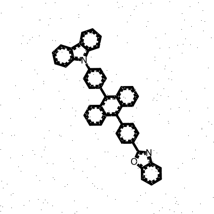 c1ccc2oc(-c3ccc(-c4c5ccccc5c(-c5ccc(-n6c7ccccc7c7ccccc76)cc5)c5ccccc45)cc3)nc2c1